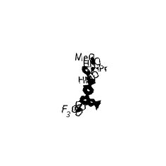 COC(=O)N[C@H](C(=O)N1CCC[C@H]1c1ncc(-c2ccc(-c3ccc(OS(=O)(=O)C(F)(F)F)c4c3CC3(CC3)C4)cc2)[nH]1)C(C)C